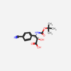 CC(C)(C)OC(=O)N[C@@H](c1ccc(C#N)cc1)[C@@H](O)C(=O)O